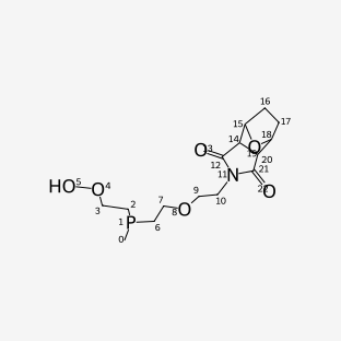 CP(CCOO)CCOCCN1C(=O)C2C3CCC(O3)C2C1=O